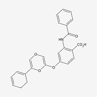 O=C(Nc1cc(OC2=COC=C(C3=CC=CCC3)O2)ccc1C(=O)O)c1ccccc1